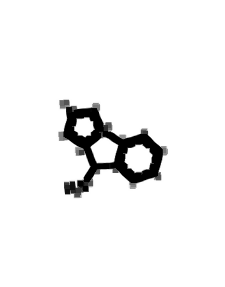 NC1c2ccccc2-n2cncc21